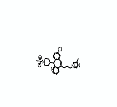 Cc1cn(CCCC2=Cc3cc(Cl)ccc3C(C3CCN(S(C)(=O)=O)CC3)c3ncccc32)cn1